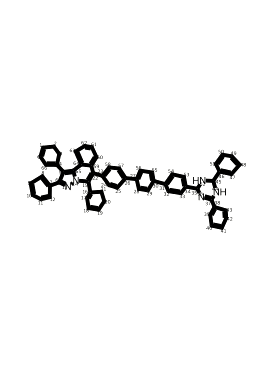 C1=CCCC(c2c(-c3ccccc3)nn3c(C4=CC=CCC4)c(-c4ccc(-c5ccc(-c6ccc(C7N=C(c8ccccc8)NC(c8ccccc8)N7)cc6)cc5)cc4)c4ccccc4c23)=C1